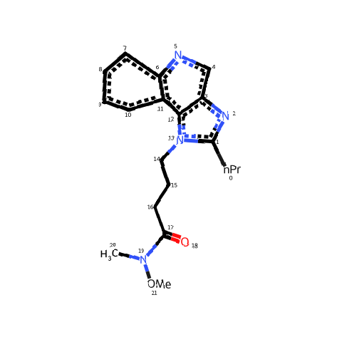 CCCc1nc2cnc3ccccc3c2n1CCCC(=O)N(C)OC